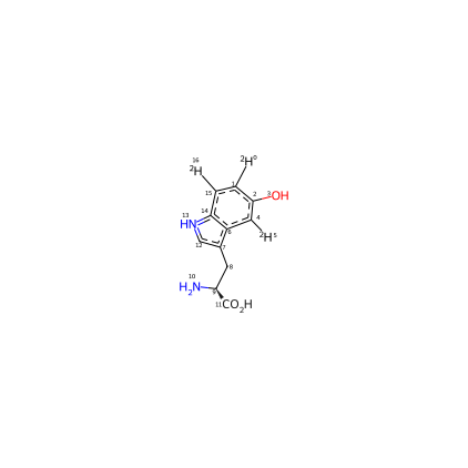 [2H]c1c(O)c([2H])c2c(C[C@H](N)C(=O)O)c[nH]c2c1[2H]